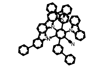 N#Cc1c(-c2cccc(-c3ccccc3)c2)c(C#N)c(-n2c3c(ccc4c5ccccc5sc43)c3ccc4c5cc(-c6ccccc6)ccc5sc4c32)c(-c2cccc(-c3ccccc3)c2)c1-n1c2ccccc2c2ccccc21